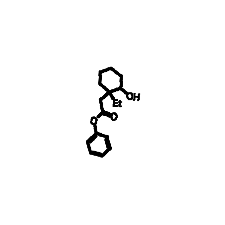 CCC1(CC(=O)Oc2ccccc2)CCCCC1O